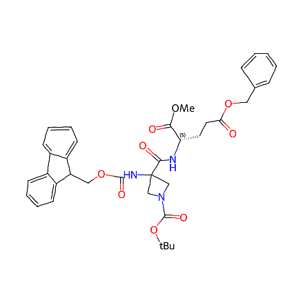 COC(=O)[C@H](CCC(=O)OCc1ccccc1)NC(=O)C1(NC(=O)OCC2c3ccccc3-c3ccccc32)CN(C(=O)OC(C)(C)C)C1